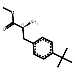 COC(=O)[C@@H](N)Cc1ccc(C(C)(C)C)cc1